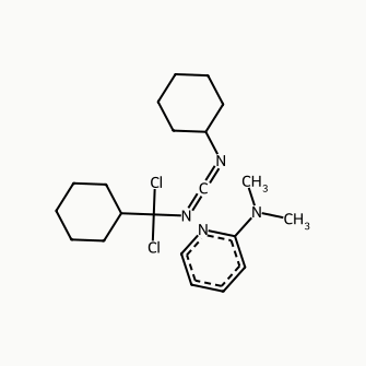 CN(C)c1ccccn1.ClC(Cl)(N=C=NC1CCCCC1)C1CCCCC1